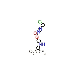 O=C(COC1CCC(Nc2ccc([N+](=O)[O-])c(C(F)(F)F)c2)CC1)N1CCN(c2cccc(Cl)c2)CC1